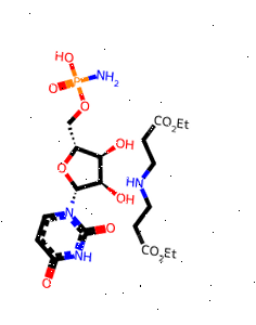 CCOC(=O)CCNCCC(=O)OCC.NP(=O)(O)OC[C@H]1O[C@@H](n2ccc(=O)[nH]c2=O)[C@H](O)[C@@H]1O